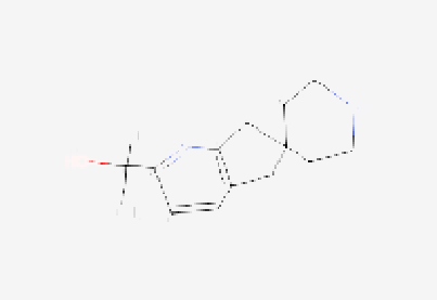 CC(C)(O)c1ccc2c(n1)CC1(CCNCC1)C2